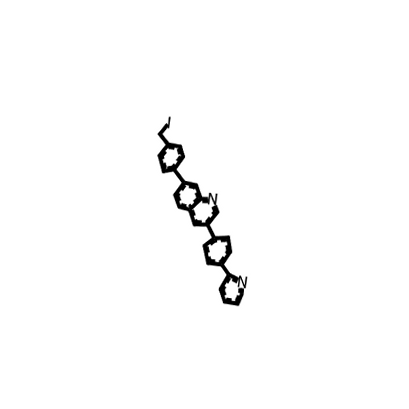 ICc1ccc(-c2ccc3cc(-c4ccc(-c5ccccn5)cc4)cnc3c2)cc1